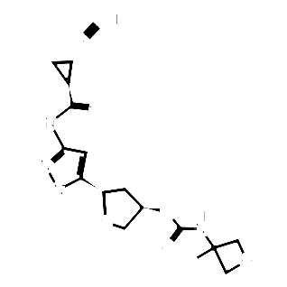 C#C[C@H]1C[C@@H]1C(=O)Nc1cc([C@H]2C[C@@H](OC(=O)NC3(C)COC3)CO2)[nH]n1